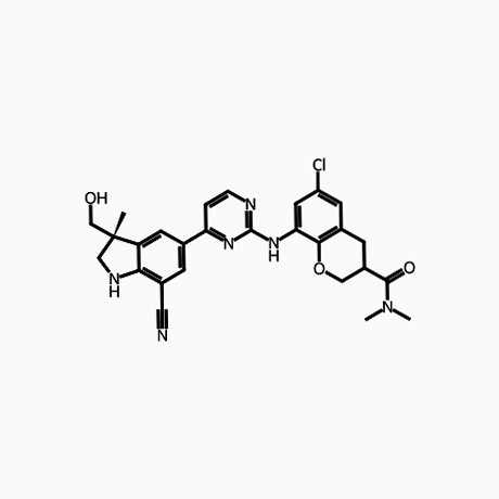 CN(C)C(=O)C1COc2c(cc(Cl)cc2Nc2nccc(-c3cc(C#N)c4c(c3)[C@@](C)(CO)CN4)n2)C1